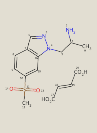 CC(N)Cn1ncc2ccc(S(C)(=O)=O)cc21.O=C(O)C=CC(=O)O